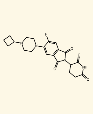 O=C1CCC(N2C(=O)c3cc(F)c(N4CCN(C5CCC5)CC4)cc3C2=O)C(=O)N1